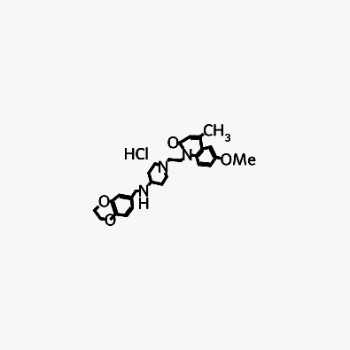 COc1ccc2c(c1)c(C)cc(=O)n2CCN1CCC(NCc2ccc3c(c2)OCCO3)CC1.Cl